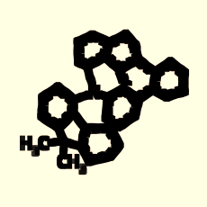 CC1(C)c2ccccc2-c2c(N(c3ccccc3)c3cccc4ccc5c6ccccc6ccc5c34)cccc21